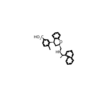 Cc1ccc(C(=O)O)cc1[C@@H]1C[C@H](CN[C@H](C)c2cccc3ccccc23)Oc2ccccc21